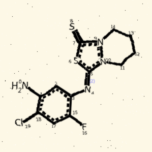 Nc1cc(/N=c2\sc(=S)n3n2CCCC3)c(F)cc1Cl